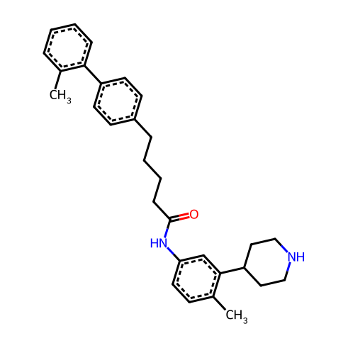 Cc1ccccc1-c1ccc(CCCCC(=O)Nc2ccc(C)c(C3CCNCC3)c2)cc1